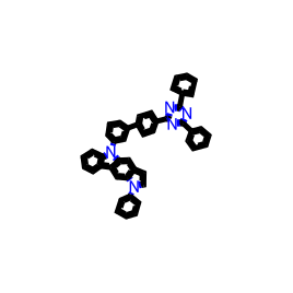 c1ccc(-c2nc(-c3ccccc3)nc(-c3ccc(-c4cccc(-n5c6ccccc6c6cc7c(ccn7-c7ccccc7)cc65)c4)cc3)n2)cc1